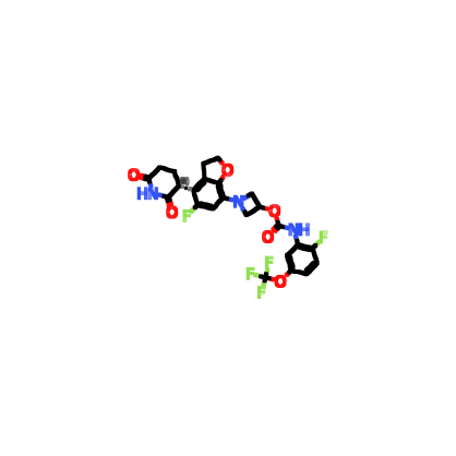 O=C1CC[C@H](c2c(F)cc(N3CC(OC(=O)Nc4cc(OC(F)(F)F)ccc4F)C3)c3c2CCO3)C(=O)N1